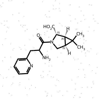 CC1(C)[C@@H]2[C@@H](C(=O)O)N(C(=O)C(N)Cc3ccccn3)C[C@@H]21